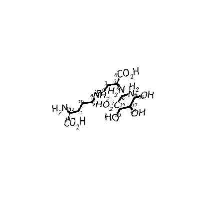 CC(C)C[C@H](N)C(=O)O.NCC(=O)O.NCCC[C@H](N)C(=O)O.OCC(O)CO